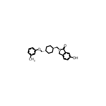 Cc1cccc(OC[C@H]2CC[C@H](CN3Cc4ccc(O)cc4C3=O)CC2)c1